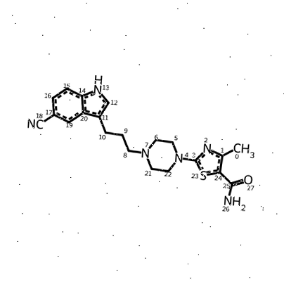 Cc1nc(N2CCN(CCCc3c[nH]c4ccc(C#N)cc34)CC2)sc1C(N)=O